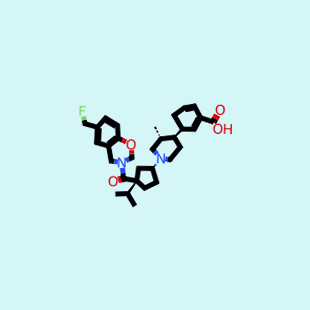 CC(C)[C@]1(C(=O)N2COc3ccc(CF)cc3C2)CC[C@@H](N2CC[C@H](C3C=C(C(=O)O)C=CC3)[C@@H](C)C2)C1